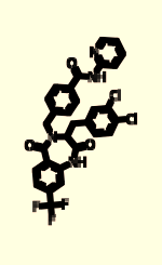 O=C(Nc1ccccn1)c1ccc(CN2C(=O)c3ccc(C(F)(F)F)cc3NC(=O)C2Cc2ccc(Cl)c(Cl)c2)cc1